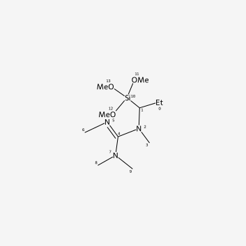 CCC(N(C)/C(=N/C)N(C)C)[Si](OC)(OC)OC